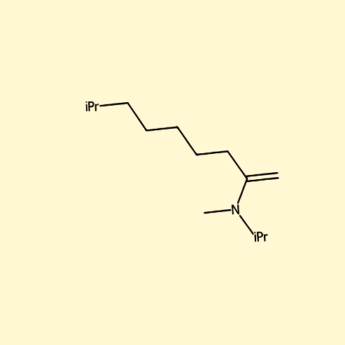 C=C(CCCCCC(C)C)N(C)C(C)C